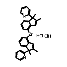 CC1=Cc2[c]([Zr][c]3cccc4c3C=C(C)C4(C)c3ccccn3)cccc2C1(C)c1ccccn1.Cl.Cl